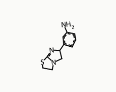 Nc1cccc(C2CN3CCSC3=N2)c1